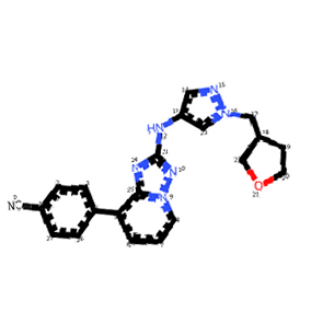 N#Cc1ccc(-c2cccn3nc(Nc4cnn(CC5CCOC5)c4)nc23)cc1